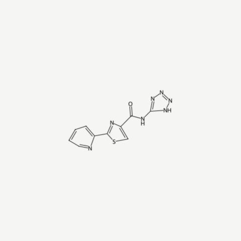 O=C(Nc1nnn[nH]1)c1csc(-c2ccccn2)n1